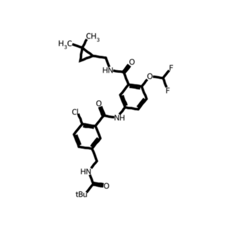 CC(C)(C)C(=O)NCc1ccc(Cl)c(C(=O)Nc2ccc(OC(F)F)c(C(=O)NCC3CC3(C)C)c2)c1